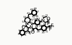 O=C(C(C(I)c1ccccc1)N(Cc1ccc(N2CCOCC2)nc1)C(=O)C=Cc1ccc(C(F)(F)F)cc1)N1CCC(Cc2ccccc2)CC1